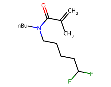 C=C(C)C(=O)N(CCCC)CCCCC(F)F